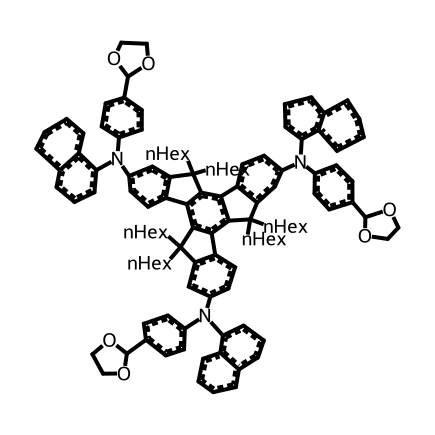 CCCCCCC1(CCCCCC)c2cc(N(c3ccc(C4OCCO4)cc3)c3cccc4ccccc34)ccc2-c2c1c1c(c3c2C(CCCCCC)(CCCCCC)c2cc(N(c4ccc(C5OCCO5)cc4)c4cccc5ccccc45)ccc2-3)C(CCCCCC)(CCCCCC)c2cc(N(c3ccc(C4OCCO4)cc3)c3cccc4ccccc34)ccc2-1